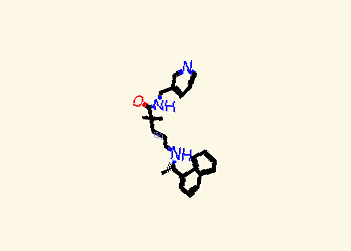 C[C@@H](NC/C=C/C(C)(C)C(=O)NCc1cccnc1)c1cccc2ccccc12